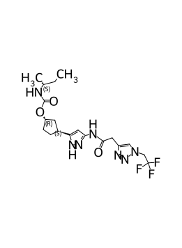 CC[C@H](C)NC(=O)O[C@@H]1CC[C@H](c2cc(NC(=O)Cc3cn(CC(F)(F)F)nn3)n[nH]2)C1